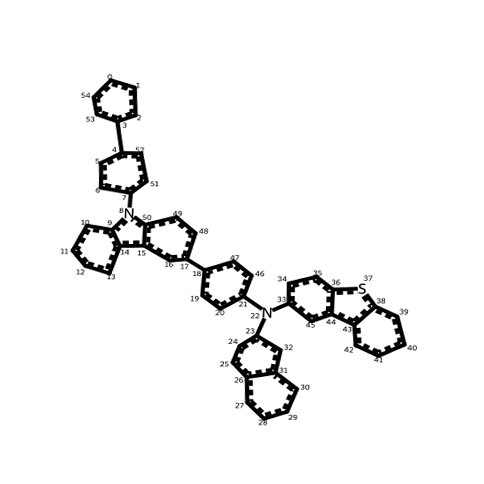 c1ccc(-c2ccc(-n3c4ccccc4c4cc(-c5ccc(N(c6ccc7ccccc7c6)c6ccc7sc8ccccc8c7c6)cc5)ccc43)cc2)cc1